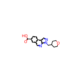 O=C(O)c1ccc2c(cnc3c2cnn3CC2CCOCC2)c1